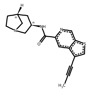 CC#Cc1csc2cnc(C(=O)N[C@@H]3C[C@H]4CCN(C4)C3)cc12